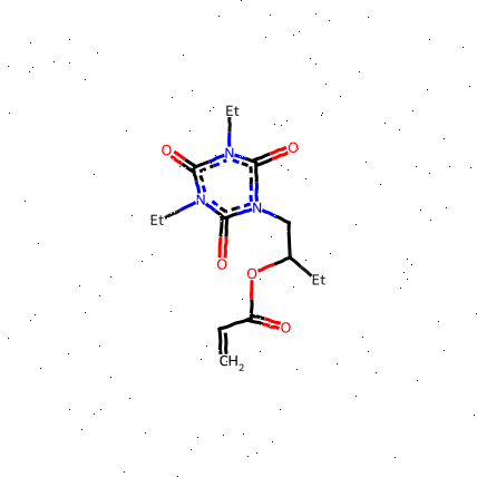 C=CC(=O)OC(CC)Cn1c(=O)n(CC)c(=O)n(CC)c1=O